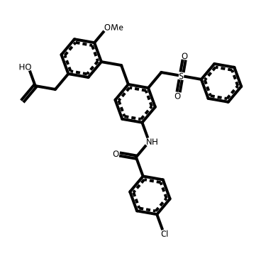 C=C(O)Cc1ccc(OC)c(Cc2ccc(NC(=O)c3ccc(Cl)cc3)cc2CS(=O)(=O)c2ccccc2)c1